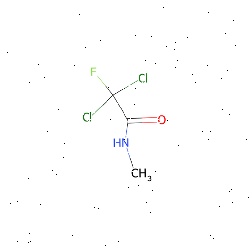 CNC(=O)C(F)(Cl)Cl